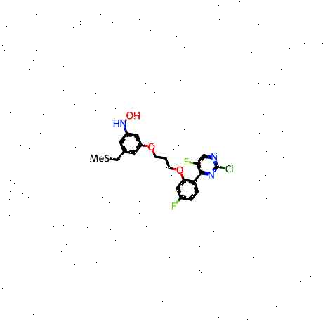 CSCc1cc(NO)cc(OCCCOc2cc(F)ccc2-c2nc(Cl)ncc2F)c1